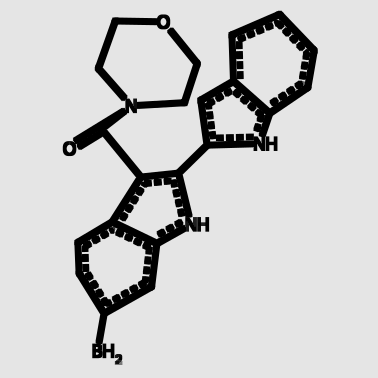 Bc1ccc2c(C(=O)N3CCOCC3)c(-c3cc4ccccc4[nH]3)[nH]c2c1